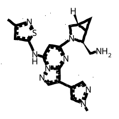 Cc1cc(Nc2cc(N3C[C@@H]4CC4[C@H]3CN)nc3c(-c4cnn(C)c4)cnn23)sn1